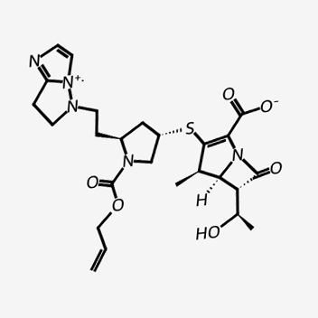 C=CCOC(=O)N1C[C@@H](SC2=C(C(=O)[O-])N3C(=O)[C@H]([C@@H](C)O)[C@H]3[C@H]2C)C[C@@H]1CCN1CCC2=NC=C[N+]21